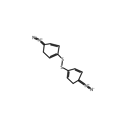 [N-]=[N+]=C1C=CC(SSC2=CCC(=[N+]=[N-])C=C2)=CC1